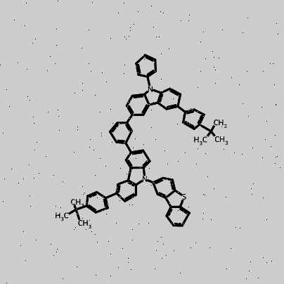 CC(C)(C)c1ccc(-c2ccc3c(c2)c2cc(-c4cccc(-c5ccc6c(c5)c5cc(-c7ccc(C(C)(C)C)cc7)ccc5n6-c5ccc6sc7ccccc7c6c5)c4)ccc2n3-c2ccccc2)cc1